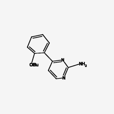 CC(C)COc1ccccc1-c1ccnc(N)n1